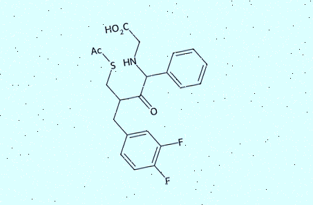 CC(=O)SCC(Cc1ccc(F)c(F)c1)C(=O)C(NCC(=O)O)c1ccccc1